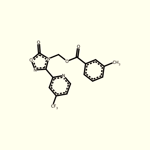 Cc1cccc(C(=O)OCn2c(-c3cc(C(F)(F)F)ccn3)noc2=O)c1